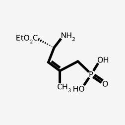 CCOC(=O)[C@H](N)C=C(C)CP(=O)(O)O